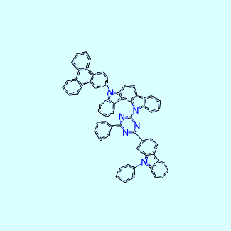 c1ccc(-c2nc(-c3ccc4c5ccccc5n(-c5ccccc5)c4c3)nc(-n3c4ccccc4c4ccc5c(c6ccccc6n5-c5ccc6c7ccccc7c7ccccc7c6c5)c43)n2)cc1